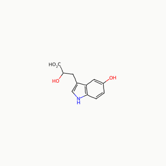 O=C(O)C(O)Cc1c[nH]c2ccc(O)cc12